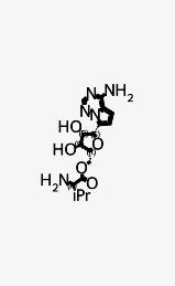 CC(C)[C@@H](N)C(=O)OC[C@H]1O[C@@H](c2ccc3c(N)ncnn23)[C@H](O)[C@@H]1O